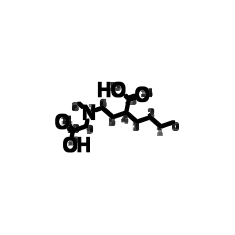 CCCCC(CCN(C)CC(=O)O)C(=O)O